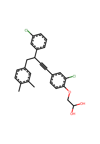 Cc1ccc(CC(C#Cc2ccc(OCC(O)O)c(Cl)c2)c2cccc(Cl)c2)cc1C